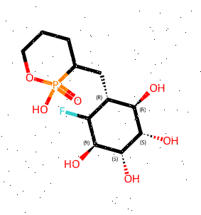 O=P1(O)OCCCC1C[C@H]1C(F)[C@H](O)[C@@H](O)[C@@H](O)[C@@H]1O